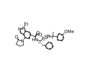 CCn1ncc2c(N3CCCC3=O)cc(C(=O)N[C@@H](Cc3ccccc3)[C@@H](O)CNC(C)(C)c3cccc(OC)c3)cc21